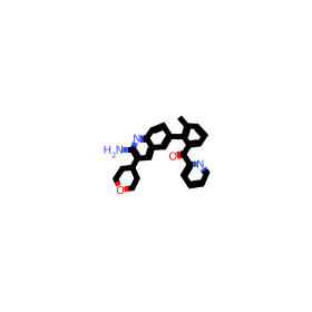 Cc1cccc(C(=O)c2ccccn2)c1-c1ccc2nc(N)c(C3CCOCC3)cc2c1